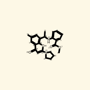 COC(=O)c1ccccc1NC(C)c1cc(C)cc2c(=O)cc(N3CCCC3)oc12